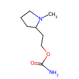 CN1CCCC1CCOC(N)=O